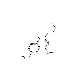 COc1nc(CCC(C)C)nc2ccc(C=O)cc12